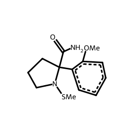 COc1ccccc1C1(C(N)=O)CCCN1SC